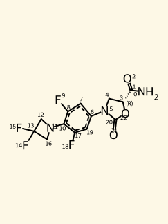 NC(=O)[C@H]1CN(c2cc(F)c(N3CC(F)(F)C3)c(F)c2)C(=O)O1